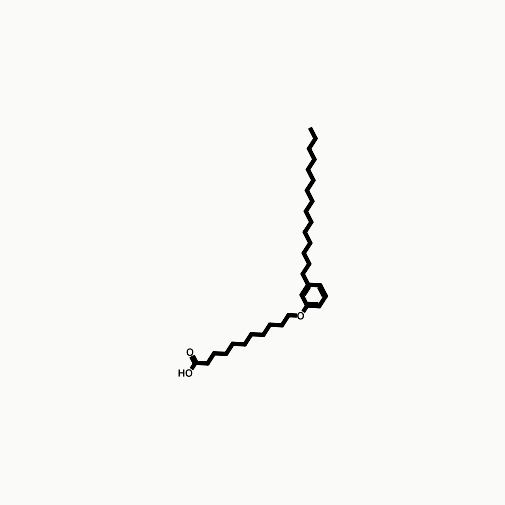 CCCCCCCCCCCCCCCc1cccc(OCCCCCCCCCCC(=O)O)c1